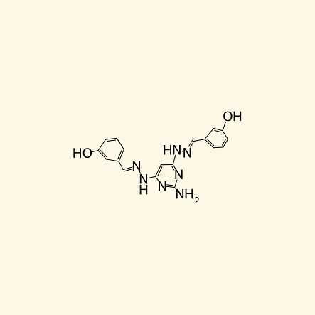 Nc1nc(NN=Cc2cccc(O)c2)cc(NN=Cc2cccc(O)c2)n1